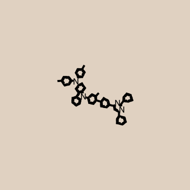 Cc1ccc(N(c2ccc(C)cc2)c2ccc3c(c2)c2ccccc2n3-c2ccc(-c3ccc(-c4cc(-c5ccccc5)nc(-c5ccccc5)n4)cc3)c(C)c2)cc1